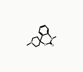 CN1CCC2(CC1)OC(=O)N(C)c1ccccc12